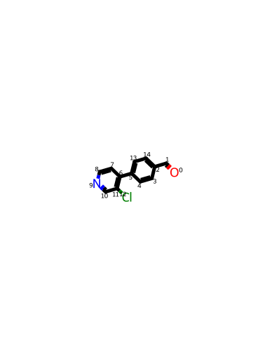 O=Cc1ccc(-c2ccncc2Cl)cc1